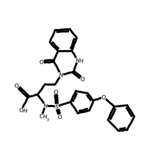 CN(C(CCn1c(=O)[nH]c2ccccc2c1=O)C(=O)O)S(=O)(=O)c1ccc(Oc2ccccc2)cc1